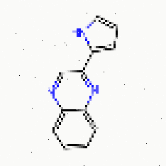 c1c[nH]c(-c2cnc3ccccc3n2)c1